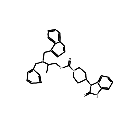 CC(COC(=O)N1CCC(n2c(=O)[nH]c3ccccc32)CC1)N(Cc1ccccc1)Cc1cccc2ccccc12